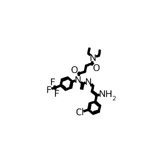 C=C(/N=C\C=C(/N)c1cccc(Cl)c1)N(C(=O)CCC(=O)N(CC)CC)c1ccc(C(F)(F)F)cc1